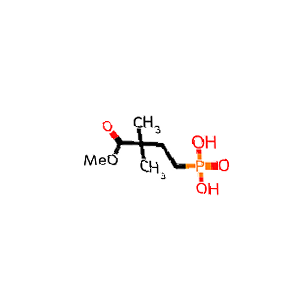 COC(=O)C(C)(C)CCP(=O)(O)O